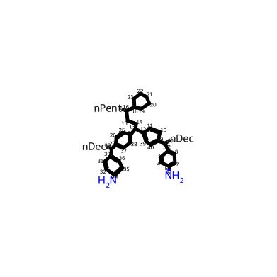 CCCCCCCCCCC(c1ccc(N)cc1)c1ccc(C(CCC(CCCCC)C2CCCCC2)c2ccc(C(CCCCCCCCCC)c3ccc(N)cc3)cc2)cc1